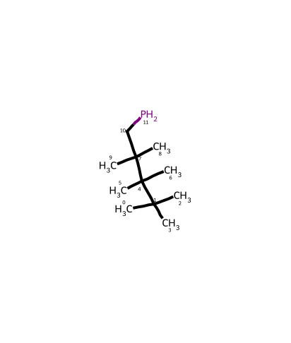 CC(C)(C)C(C)(C)C(C)(C)CP